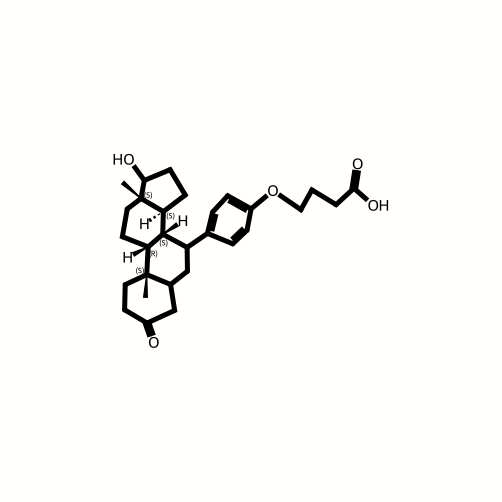 C[C@]12CCC(=O)CC1CC(c1ccc(OCCCC(=O)O)cc1)[C@@H]1[C@H]2CC[C@]2(C)C(O)CC[C@@H]12